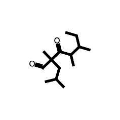 CCC(C)C(C)C(=O)C(C)([C]=O)CC(C)C